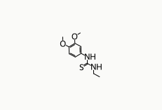 CCNC(=S)Nc1ccc(OC)c(OC)c1